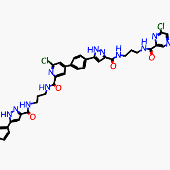 O=C(NCCCNC(=O)c1cncc(Cl)n1)c1cc(-c2ccc(-c3cc(Cl)nc(C(=O)NCCCNC(=O)c4cc(-c5ccccc5)[nH]n4)c3)cc2)[nH]n1